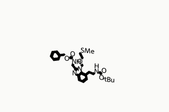 CSCCOCn1c(CNC(=O)OCc2ccccc2)nc2cccc(CCNC(=O)OC(C)(C)C)c21